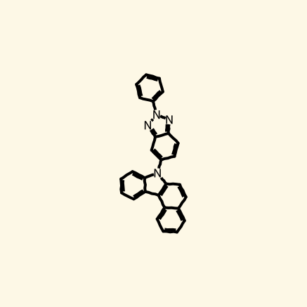 c1ccc(-n2nc3ccc(-n4c5ccccc5c5c6ccccc6ccc54)cc3n2)cc1